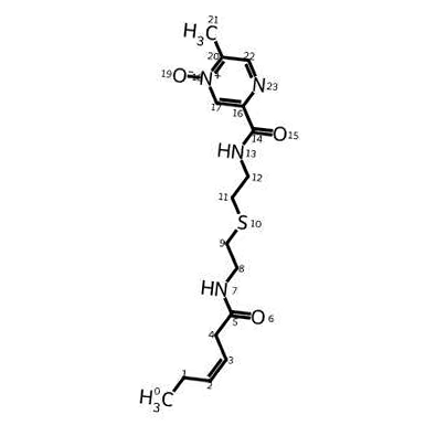 CC/C=C\CC(=O)NCCSCCNC(=O)c1c[n+]([O-])c(C)cn1